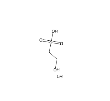 O=S(=O)(O)CCO.[LiH]